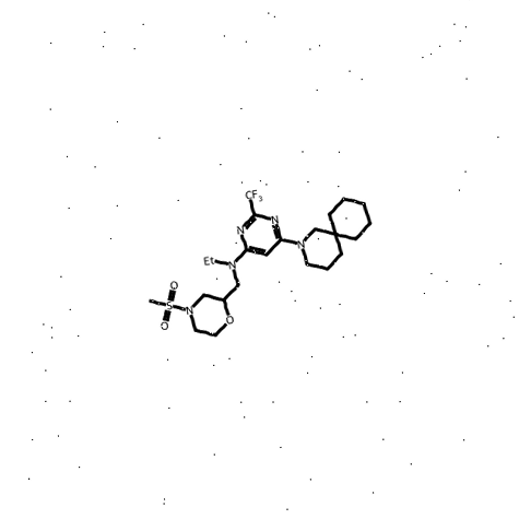 CCN(CC1CN(S(C)(=O)=O)CCO1)c1cc(N2CCCC3(CCCCC3)C2)nc(C(F)(F)F)n1